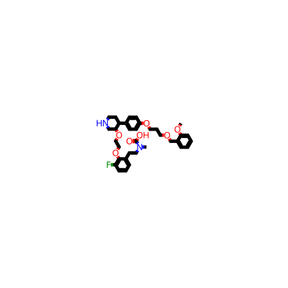 COc1ccccc1COCCCOc1ccc(C2CCNCC2OCCOc2c(F)cccc2CCN(C)C(=O)O)cc1